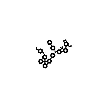 C=Cc1ccc(Oc2ccc(C3(c4ccccc4)c4ccccc4-c4ccc(-c5ccc(N(c6ccc(-c7ccccc7)cc6)c6ccc7c(c6)C(C)(C)c6c(-c8cc9c(cc8C=C)CC9)cccc6-7)cc5)cc43)cc2)cc1